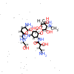 CN[C@@H]1[C@@H](O)[C@@H](O[C@@H]2[C@@H](O)[C@H](O[C@H]3OC(CNCCO)=CC[C@H]3N)[C@@H](N)C[C@H]2NC(=O)C(O)CCN)OC[C@]1(C)O